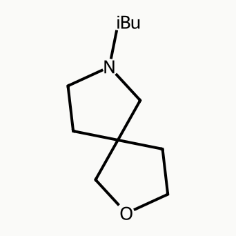 CCC(C)N1CCC2(CCOC2)C1